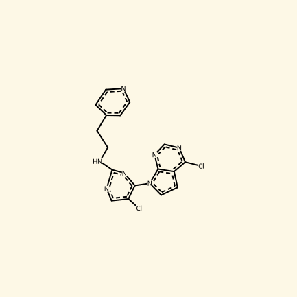 Clc1cnc(NCCc2ccncc2)nc1-n1ccc2c(Cl)ncnc21